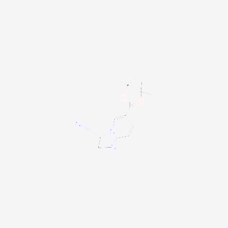 CC1(C)OB(C2=CN3C(=NCC3C#N)C=C2)OC1(C)C